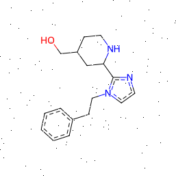 OCC1CCNC(c2nccn2CCc2ccccc2)C1